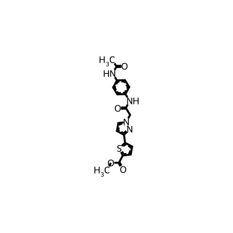 COC(=O)c1ccc(-c2ccn(CC(=O)Nc3ccc(NC(C)=O)cc3)n2)s1